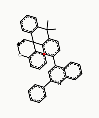 CC1(C)c2ccccc2C2(c3ccccc3Oc3ccccc32)c2cc(-c3cc(-c4ccccc4)nc4ccccc34)ccc21